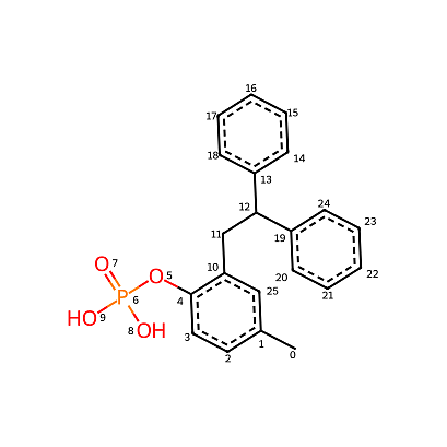 Cc1ccc(OP(=O)(O)O)c(CC(c2ccccc2)c2ccccc2)c1